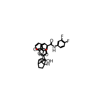 O=C(Nc1ccc(F)c(F)c1)c1ccc(Cl)c(S(=O)(=O)[C@@H]2CC3CC[C@@H](C2)[C@@]3(O)C(O)c2ccc3ccccc3n2)c1